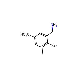 CC(=O)c1c(C)cc(C(=O)O)cc1CN